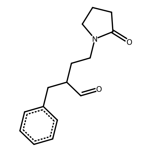 O=CC(CCN1CCCC1=O)Cc1ccccc1